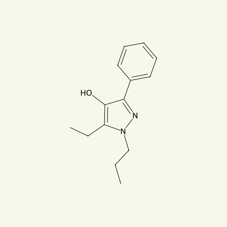 CCCn1nc(-c2ccccc2)c(O)c1CC